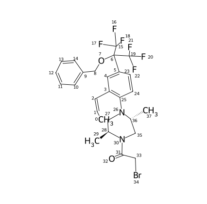 C/C=C\c1cc(C(OCc2ccccc2)(C(F)(F)F)C(F)(F)F)ccc1N1C[C@H](C)N(C(=O)CBr)C[C@H]1C